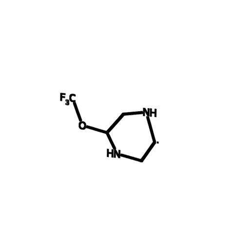 FC(F)(F)OC1CN[CH]CN1